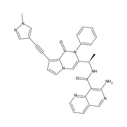 C[C@@H](NC(=O)c1c(N)ncc2cccnc12)c1cn2ccc(C#Cc3cnn(C)c3)c2c(=O)n1-c1ccccc1